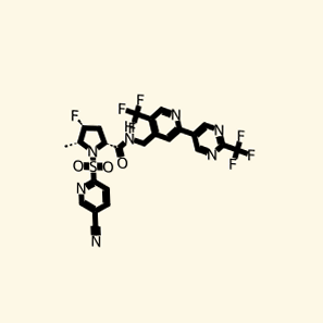 C[C@@H]1[C@H](F)C[C@H](C(=O)NCc2cc(-c3cnc(C(F)(F)F)nc3)ncc2C(F)(F)F)N1S(=O)(=O)c1ccc(C#N)cn1